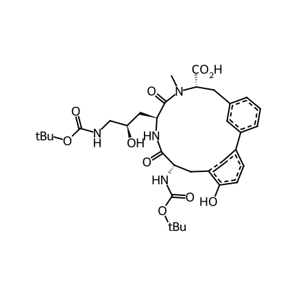 CN1C(=O)[C@H](C[C@@H](O)CNC(=O)OC(C)(C)C)NC(=O)[C@@H](NC(=O)OC(C)(C)C)Cc2cc(ccc2O)-c2cccc(c2)C[C@H]1C(=O)O